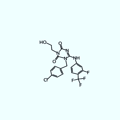 O=c1nc(Nc2ccc(C(F)(F)F)c(F)c2)n(Cc2ccc(Cl)cc2)c(=O)n1CCO